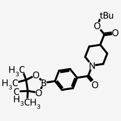 CC(C)(C)OC(=O)C1CCN(C(=O)c2ccc(B3OC(C)(C)C(C)(C)O3)cc2)CC1